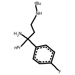 CCCC(N)(CCNC(C)(C)C)c1ccc(F)cc1